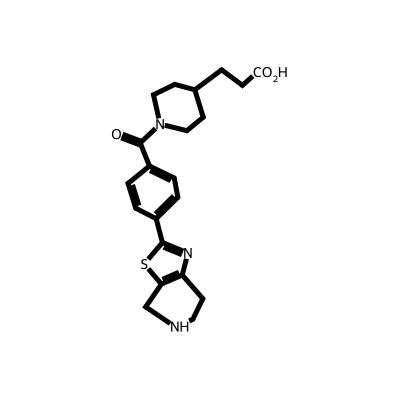 O=C(O)CCC1CCN(C(=O)c2ccc(-c3nc4c(s3)CNCC4)cc2)CC1